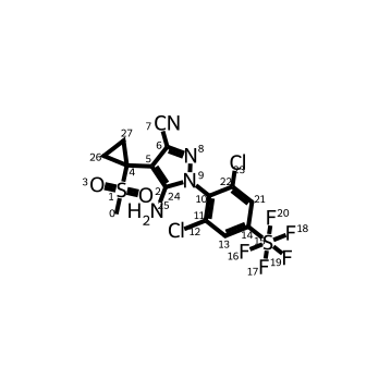 CS(=O)(=O)C1(c2c(C#N)nn(-c3c(Cl)cc(S(F)(F)(F)(F)F)cc3Cl)c2N)CC1